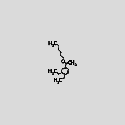 C=C(OCCCCCC)c1ccc(CC)c(CC)c1